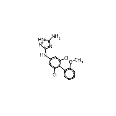 COc1ccccc1-c1c(Cl)cc(Nc2n[nH]c(N)n2)cc1Cl